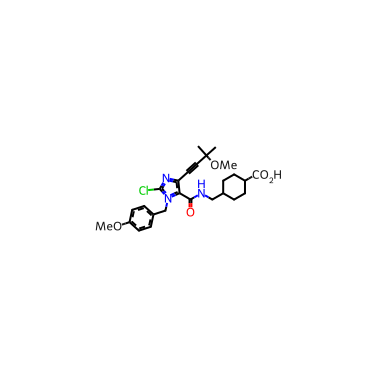 COc1ccc(Cn2c(Cl)nc(C#CC(C)(C)OC)c2C(=O)NCC2CCC(C(=O)O)CC2)cc1